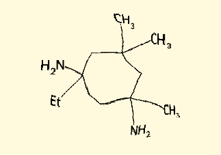 CCC1(N)CC(C)(C)CC(C)(N)C1